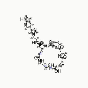 CC1=C\[C@@H](O)C[C@@H](F)Cc2nc(co2)C(=O)N2CCC[C@@H]2C(=O)O[C@H](C(C)C)[C@H](CC(=O)NCCn2cc(-c3cnc4[nH]ccc4c3)nn2)/C=C/C(=O)NC\C=C\1